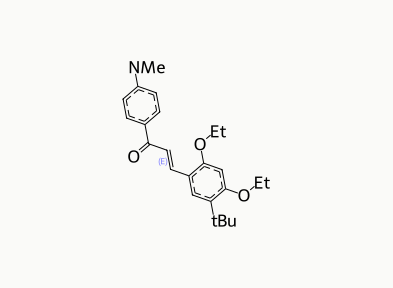 CCOc1cc(OCC)c(C(C)(C)C)cc1/C=C/C(=O)c1ccc(NC)cc1